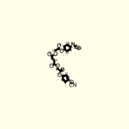 N#COc1ccc(OC(=O)COC(=O)CCC(=O)OCC(=O)Oc2ccc(N=C=O)cc2)cc1